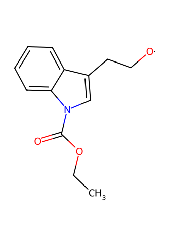 CCOC(=O)n1cc(CC[O])c2ccccc21